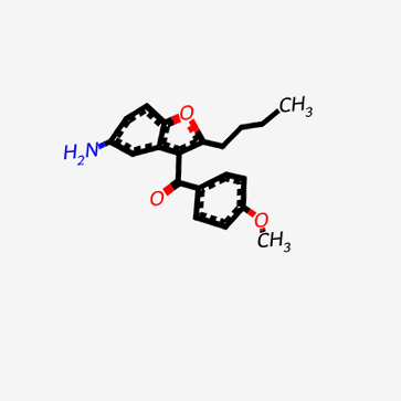 CCCCc1oc2ccc(N)cc2c1C(=O)c1ccc(OC)cc1